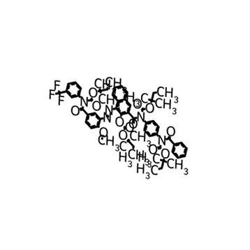 CCC(C)(C)OC(=O)Oc1c(C(=O)N(C(=O)OC(C)(C)CC)c2ccc(N(C(=O)OC(C)(C)CC)C(=O)c3ccccc3)cc2)cc2ccccc2c1/N=N/c1cc(C(=O)N(C(=O)OC(C)(C)CC)c2cccc(C(F)(F)F)c2)ccc1OC